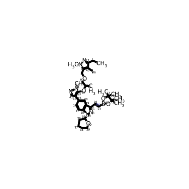 CCc1nn(C)c(COCC(C)Oc2c(-c3ccc4c(c3)c(/C=C/B3OC(C)(C)C(C)(C)O3)nn4C3CCCCO3)cnn2C)c1I